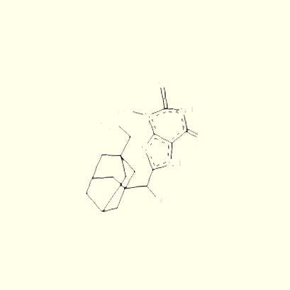 CCCC(c1nc2c([nH]1)c(=O)[nH]c(=O)n2CCC)C12CC3CC(CC(CC(=O)O)(C3)C1)C2